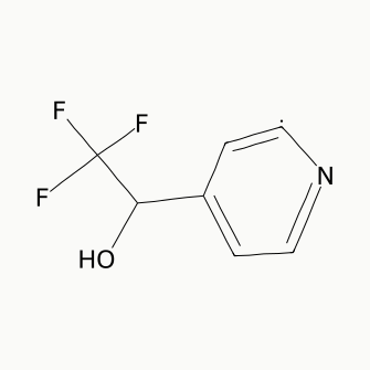 OC(c1c[c]ncc1)C(F)(F)F